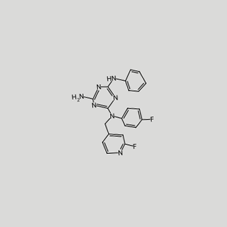 Nc1nc(Nc2ccccc2)nc(N(Cc2ccnc(F)c2)c2ccc(F)cc2)n1